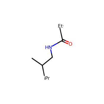 C[CH]C(=O)NCC(C)C(C)C